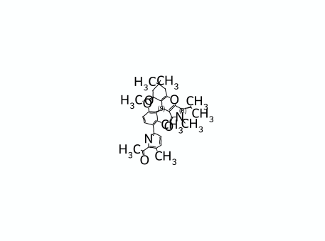 COc1ccc(-c2ccc(C)c(C(C)=O)n2)c(C)c1[C@H]1C2=C(CC(C)(C)CC2=O)OC2=C1C(=O)N(C)[C@@H]2C(C)C